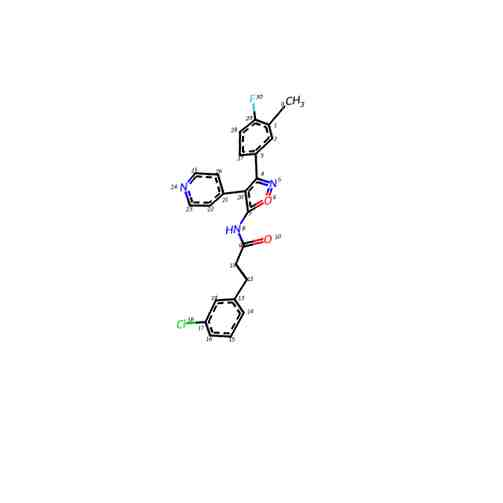 Cc1cc(-c2noc(NC(=O)CCc3cccc(Cl)c3)c2-c2ccncc2)ccc1F